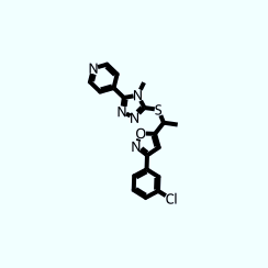 CC(Sc1nnc(-c2ccncc2)n1C)c1cc(-c2cccc(Cl)c2)no1